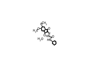 COc1cc2c(=O)c(=NNC(=O)Nc3ccccc3)c(=O)c2cc1OC.O